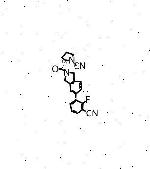 N#Cc1cccc(-c2ccc3c(c2)CN(C(=O)[C@@H]2CCCN2C#N)C3)c1F